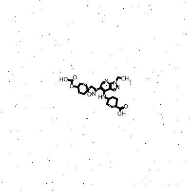 CCn1ncc2c(NC3CCC(C(=O)O)CC3)c(C3=NOC4(CCC(OC(=O)O)CC4)C3)cnc21